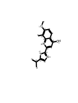 COc1ccc2c(O)cc(-c3ncc(C(C)C)s3)nc2c1C